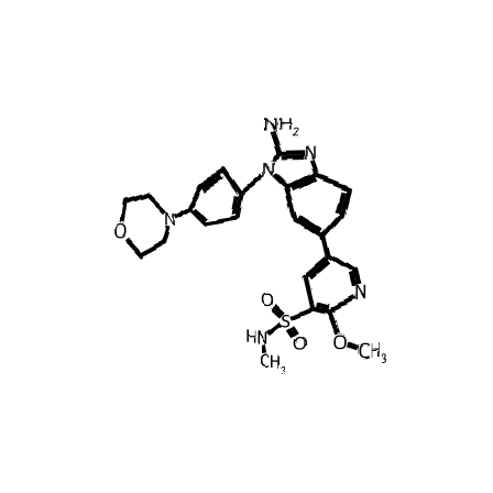 CNS(=O)(=O)c1cc(-c2ccc3nc(N)n(-c4ccc(N5CCOCC5)cc4)c3c2)cnc1OC